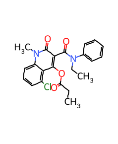 CCC(=O)Oc1c(C(=O)N(CC)c2ccccc2)c(=O)n(C)c2cccc(Cl)c12